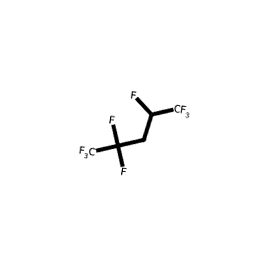 FC(CC(F)(F)C(F)(F)F)C(F)(F)F